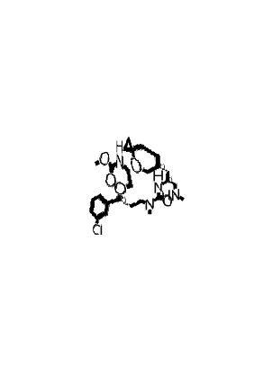 CNC[C@H](C[C@H]1CCC2(CC2)OC1)NC(=O)N(C)CC[C@@H](OCCNC(=O)OC)c1cccc(Cl)c1